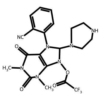 Cn1c2c(c(=O)n(C)c1=O)N(c1ccccc1C#N)C(N1CCNCC1)N2OC(=O)C(F)(F)F